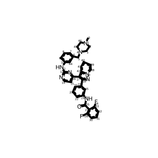 CN1CCN(Cc2cccc(Nc3nccc(-c4c(-c5cccc(NC(=O)c6c(F)cccc6F)c5)nn5ccccc45)n3)c2)CC1